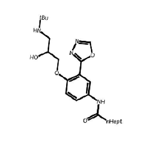 CCCCCCCC(=O)Nc1ccc(OCC(O)CNC(C)(C)C)c(-c2nnco2)c1